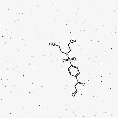 O=CCC(=O)c1ccc(S(=O)(=O)N(CCO)CCO)cc1